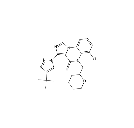 CC(C)(C)c1cn(-c2ncn3c2c(=O)n(CC2CCCCO2)c2c(Cl)cccc23)nn1